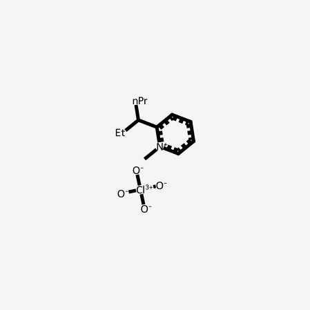 CCCC(CC)c1cccc[n+]1C.[O-][Cl+3]([O-])([O-])[O-]